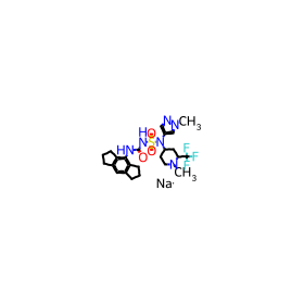 CN1CCC(N(c2cnn(C)c2)S(=O)(=O)NC(=O)Nc2c3c(cc4c2CCC4)CCC3)CC1C(F)(F)F.[Na]